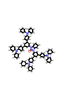 O=c1n(-c2cc(-c3ccc(N(C4=CCCC=C4)c4ccccc4)cc3)cc(-c3ccc(N(c4ccccc4)c4ccccc4)cc3)c2)c2ccccc2n1-c1cc(-c2ccc(N(c3ccccc3)c3ccccc3)cc2)cc(-c2ccc(N(c3ccccc3)c3ccccc3)cc2)c1